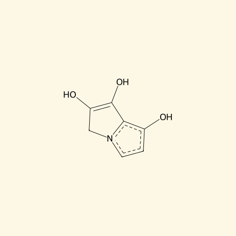 OC1=C(O)c2c(O)ccn2C1